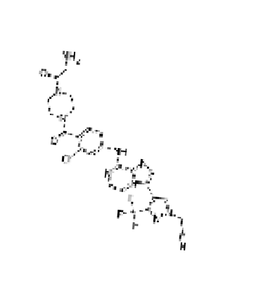 N#CCn1cc(-c2cnc3c(Nc4ccc(C(=O)N5CCN(C(=O)CN)CC5)c(Cl)c4)nccn23)c(C(F)(F)F)n1